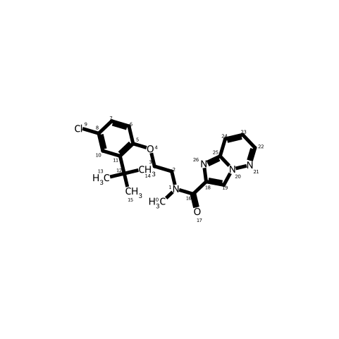 CN(CCOc1ccc(Cl)cc1C(C)(C)C)C(=O)c1cn2ncccc2n1